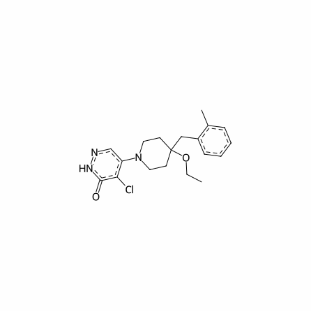 CCOC1(Cc2ccccc2C)CCN(c2cn[nH]c(=O)c2Cl)CC1